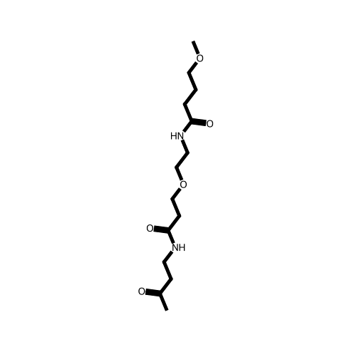 COCCCC(=O)NCCOCCC(=O)NCCC(C)=O